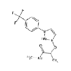 CNC(=O)C(C)ON1C=CN(c2ccc(C(F)(F)F)cc2)N1